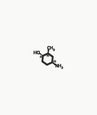 C[C@H]1C[C@@H](N)CC[C@@H]1O